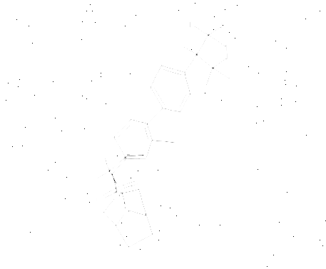 Cc1cc(CN2CC3CCC(C2)N3S(=O)(=O)C(F)(F)F)ccc1-c1ccc(C(O)(C(F)(F)F)C(F)(F)F)cc1